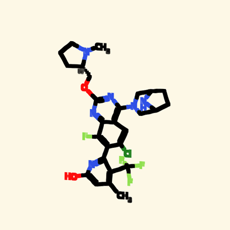 Cc1cc(O)nc(-c2c(Cl)cc3c(N4CC5CCC(C4)N5)nc(OC[C@@H]4CCCN4C)nc3c2F)c1C(F)(F)F